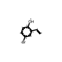 C=Cc1cc(Br)ccc1O